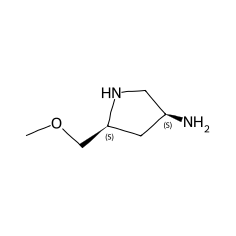 COC[C@@H]1C[C@H](N)CN1